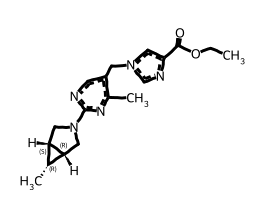 CCOC(=O)c1cn(Cc2cnc(N3C[C@@H]4[C@H](C)[C@@H]4C3)nc2C)cn1